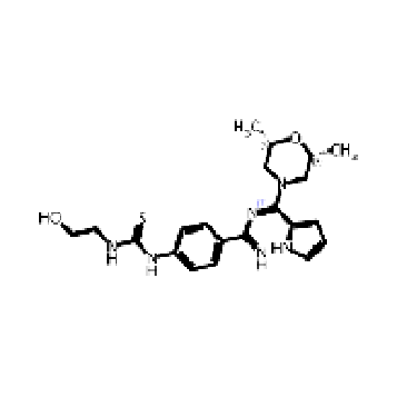 C[C@@H]1CN(/C(=N/C(=N)c2ccc(NC(=S)NCCO)cc2)c2ccc[nH]2)C[C@H](C)O1